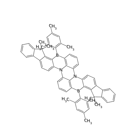 Cc1cc(C)c(B2c3cccc4c3N(c3ccc5c(c32)C(C)(C)c2ccccc2-5)c2cccc3c2N4c2ccc4c(c2B3c2c(C)cc(C)cc2C)C(C)(C)c2ccccc2-4)c(C)c1